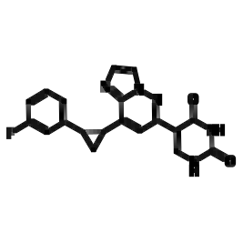 O=c1[nH]cc(-c2cc(C3CC3c3cccc(F)c3)c3nccn3n2)c(=O)[nH]1